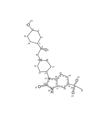 COC1CCC(C(=O)CN2CCC(n3c(=O)[nH]c4cc(S(C)(=O)=O)ccc43)CC2)CC1